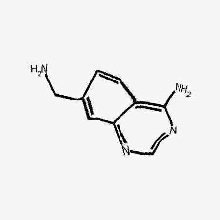 NCc1ccc2c(N)ncnc2c1